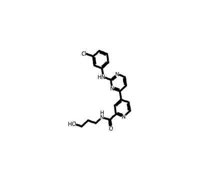 O=C(NCCCO)c1cc(-c2ccnc(Nc3cccc(Cl)c3)n2)ccn1